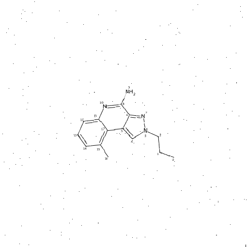 CCCn1cc2c(n1)c(N)nc1cccc(C)c12